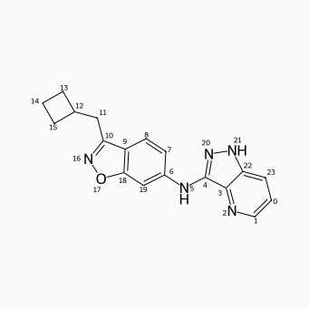 c1cnc2c(Nc3ccc4c(CC5CCC5)noc4c3)n[nH]c2c1